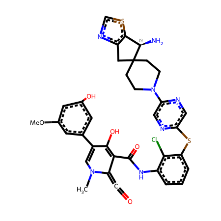 COc1cc(O)cc(C2=CN(C)C(=C=O)C(C(=O)Nc3cccc(Sc4cnc(N5CCC6(CC5)Cc5ncsc5[C@H]6N)cn4)c3Cl)=C2O)c1